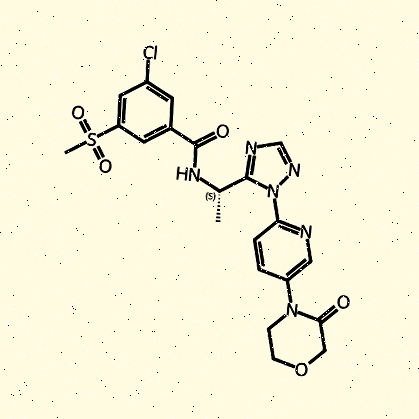 C[C@H](NC(=O)c1cc(Cl)cc(S(C)(=O)=O)c1)c1ncnn1-c1ccc(N2CCOCC2=O)cn1